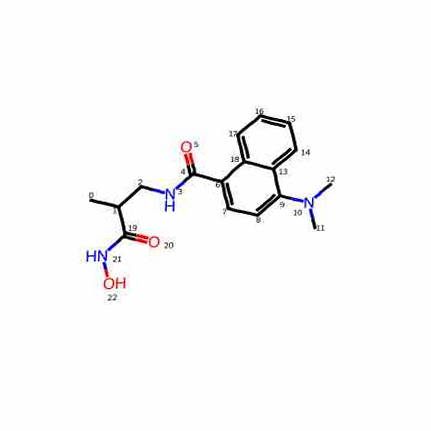 CC(CNC(=O)c1ccc(N(C)C)c2ccccc12)C(=O)NO